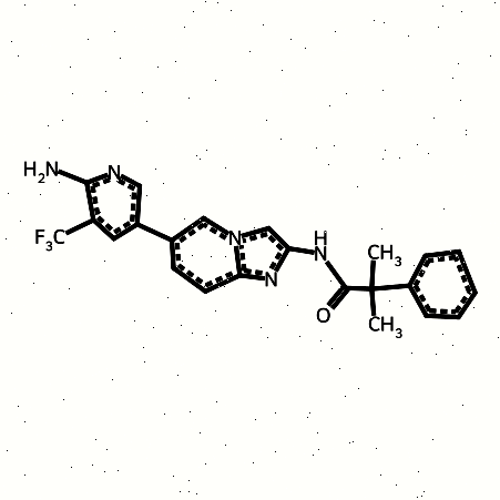 CC(C)(C(=O)Nc1cn2cc(-c3cnc(N)c(C(F)(F)F)c3)ccc2n1)c1ccccc1